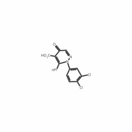 CCCc1c(C(=O)O)c(=O)cnn1-c1ccc(Cl)c(Cl)c1